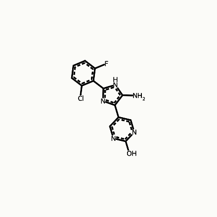 Nc1[nH]c(-c2c(F)cccc2Cl)nc1-c1cnc(O)nc1